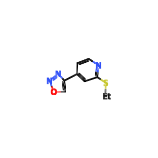 CCSc1cc(-c2conn2)ccn1